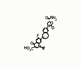 NC(=O)[C@H]1CN(c2ccc3c(c2)CCCN(c2cc4c(cc2F)c(=O)c(C(=O)O)cn4C2CC2)C3)C(=O)O1